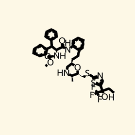 CCC(O)(c1cnc(SC[C@H]2O[C@H](CCc3ccccc3NC(=O)[C@@H](NC(=O)OC)C(c3ccccc3)c3ccccc3)CN[C@@H]2C)s1)C(F)(F)F